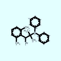 Cc1cccc(C)c1C(C(C)C)C(C)(C)[Si](c1ccccc1)c1ccccc1